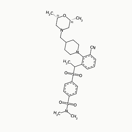 CC(c1cccc(C#N)c1N1CCC(CN2C[C@@H](C)O[C@@H](C)C2)CC1)S(=O)(=O)c1ccc(S(=O)(=O)N(C)C)cc1